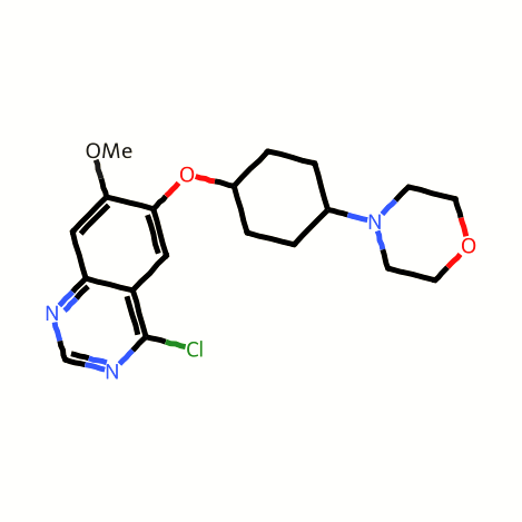 COc1cc2ncnc(Cl)c2cc1OC1CCC(N2CCOCC2)CC1